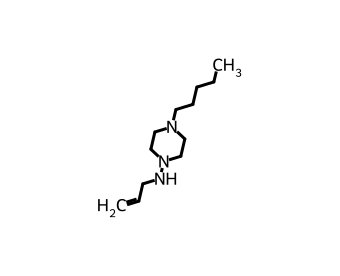 C=CCNN1CCN(CCCCC)CC1